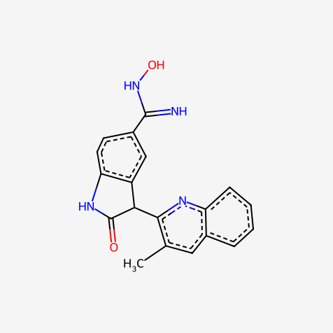 Cc1cc2ccccc2nc1C1C(=O)Nc2ccc(C(=N)NO)cc21